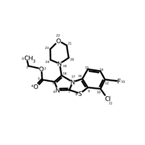 CCOC(=O)c1nc2sc3c(Cl)c(F)ccc3n2c1N1CCOCC1